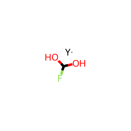 OC(O)F.[Y]